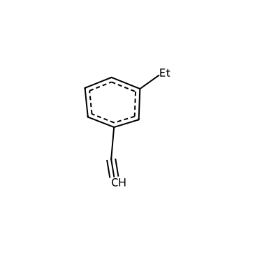 C#Cc1cccc(CC)c1